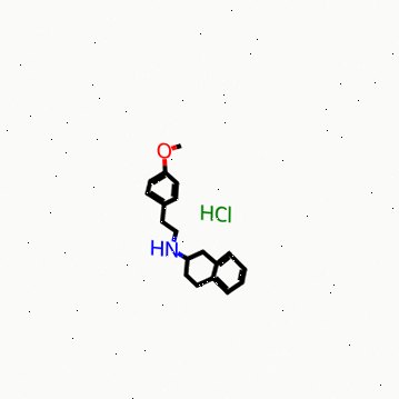 COc1ccc(CCNC2CCc3ccccc3C2)cc1.Cl